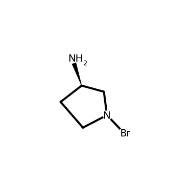 N[C@@H]1CCN(Br)C1